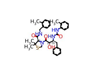 Cc1ccccc1CNC(=O)[C@H]1N(C(=O)[C@@H](O)[C@H](Cc2ccccc2)NC(=O)Nc2ccccc2C)CSC1(C)C